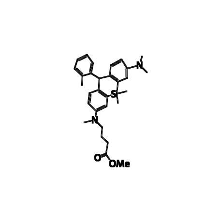 COC(=O)CCCN(C)c1ccc2c(c1)[Si](C)(C)c1cc(N(C)C)ccc1C2c1ccccc1C